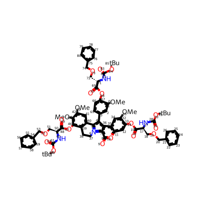 COc1cc(-c2c3n(c4c(=O)oc5cc(OC(=O)[C@H](COCc6ccccc6)NC(=O)OC(C)(C)C)c(OC)cc5c24)CCc2c-3cc(OC)c(OC)c2OC(=O)[C@H](COCc2ccccc2)NC(=O)OC(C)(C)C)ccc1OC(=O)[C@H](COCc1ccccc1)NC(=O)OC(C)(C)C